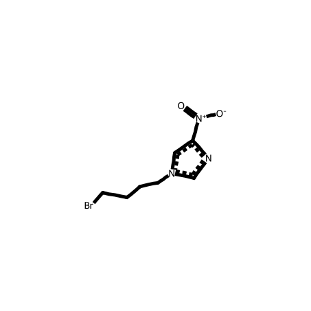 O=[N+]([O-])c1cn(CCCCBr)cn1